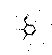 O=Cc1cccc(F)c1Br